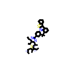 C=Cc1nc(-c2ccc3c(c2)C(C)(C)c2cccc4c5c6ccccc6sc5n-3c24)nc(/C(C)=c2\sc(/C=C\C)c(C)\c2=C\C)c1C=C